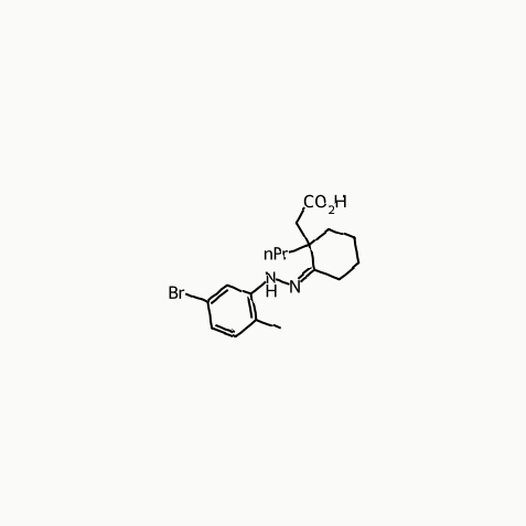 CCCC1(CC(=O)O)CCCCC1=NNc1cc(Br)ccc1C